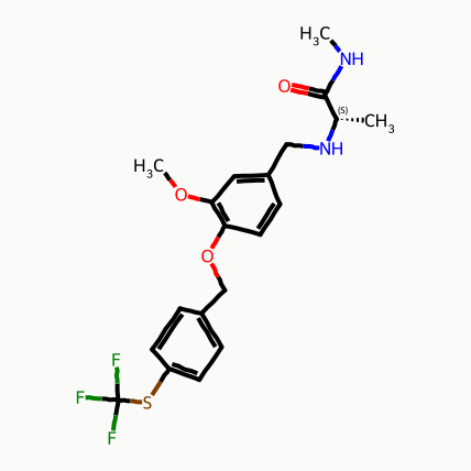 CNC(=O)[C@H](C)NCc1ccc(OCc2ccc(SC(F)(F)F)cc2)c(OC)c1